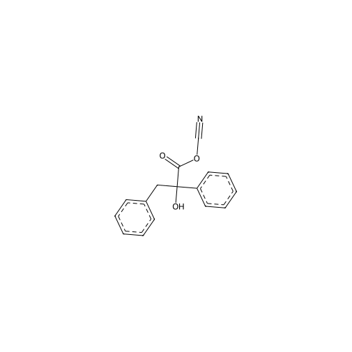 N#COC(=O)C(O)(Cc1ccccc1)c1ccccc1